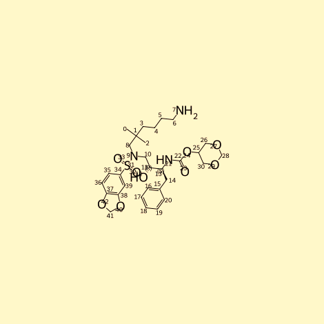 CC(C)(CCCCN)CN(C[C@@H](O)[C@H](Cc1ccccc1)NC(=O)OC1COCOC1)S(=O)(=O)c1ccc2c(c1)OCO2